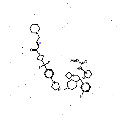 COC(=O)N[C@H]1CCC[C@@H]1C(CN1CCC1)(c1cccc(F)c1)C1CCN(C[C@@H]2CCN(c3ccc(C(F)(F)C4CN(C(=O)/C=C/CN5CCCCC5)C4)cc3)C2)CC1